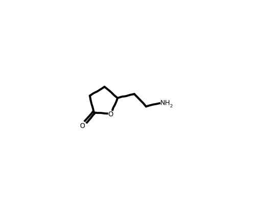 NCCC1CCC(=O)O1